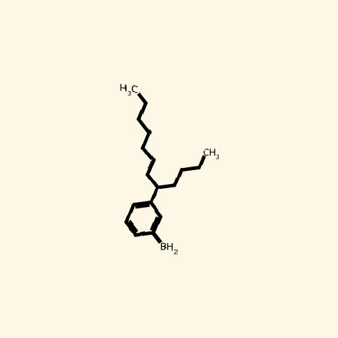 Bc1cccc(C(CCCC)CCCCCCC)c1